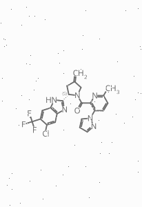 C=C1C[C@@H](c2nc3cc(Cl)c(C(F)(F)F)cc3[nH]2)N(C(=O)c2nc(C)ccc2-n2cccn2)C1